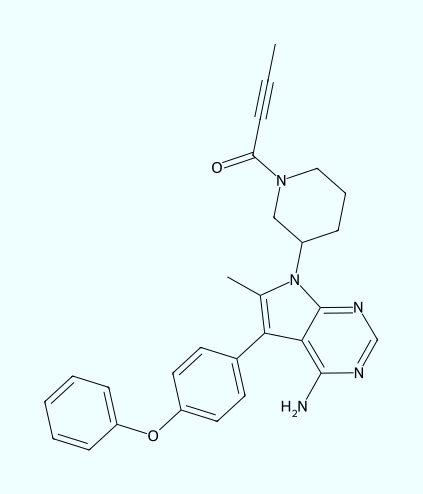 CC#CC(=O)N1CCCC(n2c(C)c(-c3ccc(Oc4ccccc4)cc3)c3c(N)ncnc32)C1